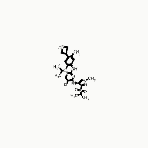 Cc1cc(Nc2ncc(Cl)c(Nc3cn(C)nc3S(=O)(=O)C(C)C)n2)c(OC(C)C)cc1C1CNC1